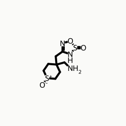 NCC1(CC2=NOS(=O)N2)CC[S+]([O-])CC1